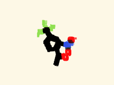 CC(=O)c1ccc(C(F)(F)F)cc1[N+](=O)[O-]